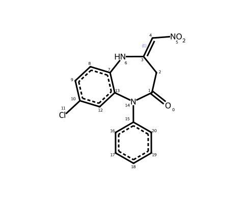 O=C1C/C(=C\[N+](=O)[O-])Nc2ccc(Cl)cc2N1c1ccccc1